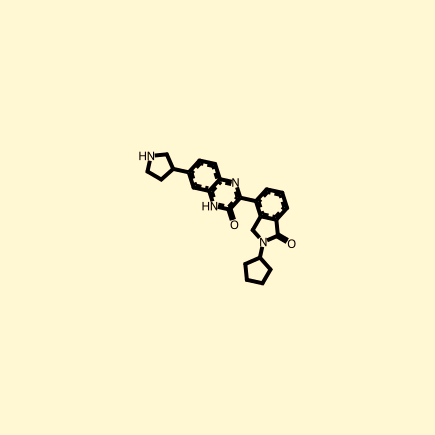 O=C1c2cccc(-c3nc4ccc(C5CCNC5)cc4[nH]c3=O)c2CN1C1CCCC1